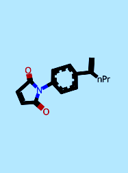 C=C(CCC)c1ccc(N2C(=O)C=CC2=O)cc1